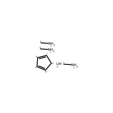 CN.CN.CN.[CH]1C=CC=C1.[LiH]